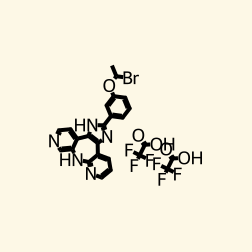 CC(Br)Oc1cccc(-c2nc3c([nH]2)-c2ccncc2Nc2ncccc2-3)c1.O=C(O)C(F)(F)F.O=C(O)C(F)(F)F